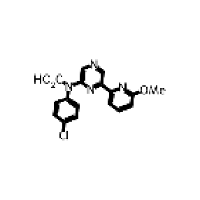 COc1cccc(-c2cncc(N(C(=O)O)c3ccc(Cl)cc3)n2)n1